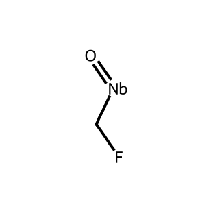 [O]=[Nb][CH2]F